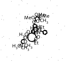 CC[C@H]1CCC[C@H](O[C@H]2CC[C@H](N(C)C)C(C)O2)[C@@H](C)C(=O)C2=C[C@H]3[C@@H]4C[C@H](O[C@@H]5OC(C)[C@H](OC)[C@@H](OC)C5OC)C[C@H]4c4c(nc(-c5ccccc5)n4CC)[C@H]3[C@@H]2CC(=O)O1